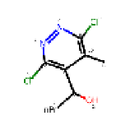 CCCC(O)c1c(Cl)nnc(Cl)c1C